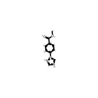 COC(=O)c1ccc(-n2cncn2)cc1